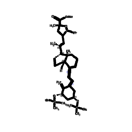 C=C1/C(=C\C=C2/CCC[C@]3(C)[C@@H]([C@H](C)CC4CC(C)(C(=O)OC)ON4C(C)C)CC[C@@H]23)C[C@@H](O[Si](C)(C)C(C)(C)C)C[C@@H]1O[Si](C)(C)C(C)(C)C